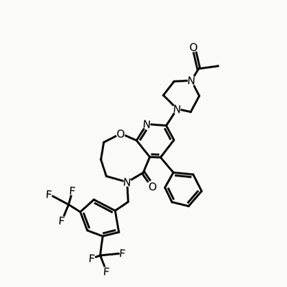 CC(=O)N1CCN(c2cc(-c3ccccc3)c3c(n2)OCCCN(Cc2cc(C(F)(F)F)cc(C(F)(F)F)c2)C3=O)CC1